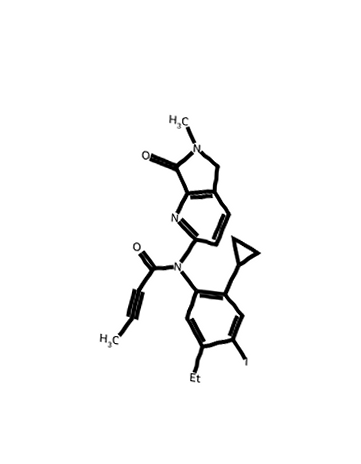 CC#CC(=O)N(c1ccc2c(n1)C(=O)N(C)C2)c1cc(CC)c(I)cc1C1CC1